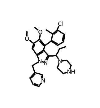 CCC(c1nn(Cc2cccnc2)c2cc(OC)c(OC)c(-c3cccc(Cl)c3C)c12)N1CCNCC1